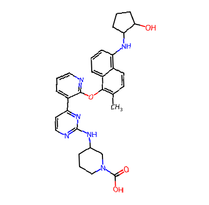 Cc1ccc2c(NC3CCCC3O)cccc2c1Oc1ncccc1-c1ccnc(NC2CCCN(C(=O)O)C2)n1